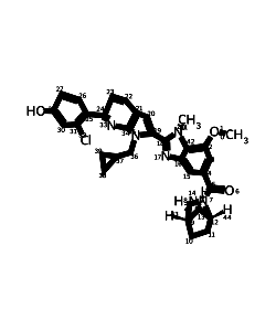 COc1cc(C(=O)N2C[C@H]3CC[C@@H]2[C@@H]3N)cc2nc(-c3cc4ccc(-c5ccc(O)cc5Cl)nc4n3CC3CC3)n(C)c12